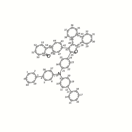 c1ccc(-c2ccc(N(c3ccc(-c4ccccc4)cc3)c3ccc(-c4oc5c6ccccc6c6ccccc6c5c4-c4ccc5c(c4)oc4ccccc45)cc3)cc2)cc1